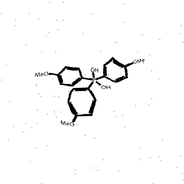 COc1ccc(P(O)(O)(c2ccc(OC)cc2)c2ccc(OC)cc2)cc1